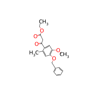 CCOC(=O)CC(=O)c1cc(OC)c(OCc2ccccc2)cc1C